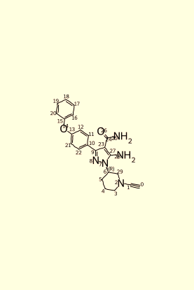 C#CN1CCC[C@@H](n2nc(-c3ccc(Oc4ccccc4)cc3)c(C(N)=O)c2N)C1